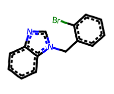 Brc1ccccc1Cn1cnc2ccccc21